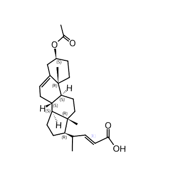 CC(=O)O[C@H]1CC[C@@]2(C)C(=CC[C@H]3[C@@H]4CC[C@H](C(C)/C=C/C(=O)O)[C@@]4(C)CC[C@@H]32)C1